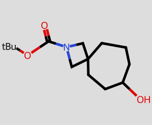 CC(C)(C)OC(=O)N1CC2(CCCC(O)CC2)C1